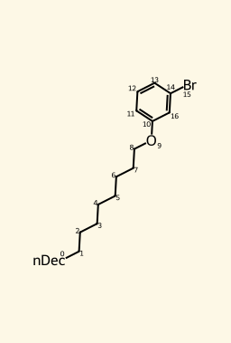 CCCCCCCCCCCCCCCCCCOc1cccc(Br)c1